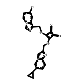 O=c1c(NCc2cn3cc(C4CC4)ccc3n2)c(NCc2ncn3ccc(Cl)cc23)c1=O